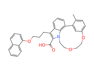 Cc1ccc2cc1-c1cccc3c(CCCOc4cccc5ccccc45)c(C(=O)O)n(c13)CCOCCO2